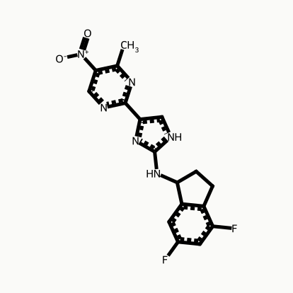 Cc1nc(-c2c[nH]c(NC3CCc4c(F)cc(F)cc43)n2)ncc1[N+](=O)[O-]